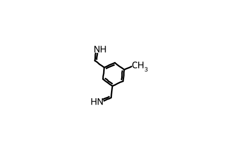 Cc1cc(C=N)cc(C=N)c1